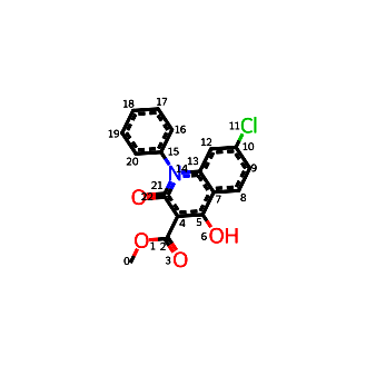 COC(=O)c1c(O)c2ccc(Cl)cc2n(-c2ccccc2)c1=O